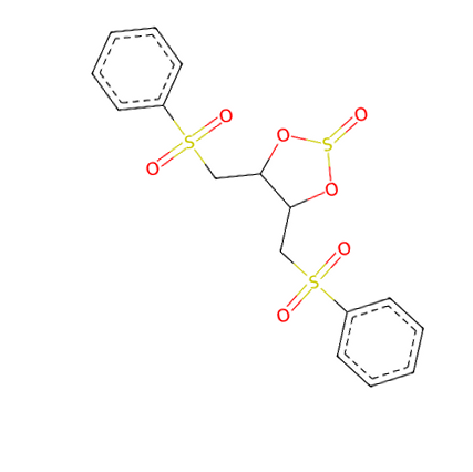 O=S1OC(CS(=O)(=O)c2ccccc2)C(CS(=O)(=O)c2ccccc2)O1